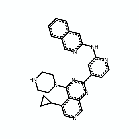 c1ccc2cc(Nc3cc(-c4nc(N5CCNCC5)c5c(C6CC6)cncc5n4)ccn3)ncc2c1